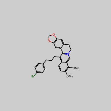 COc1ccc2c(CCCc3ccc(Br)cc3)c3[n+](cc2c1OC)CCc1cc2c(cc1-3)OCO2